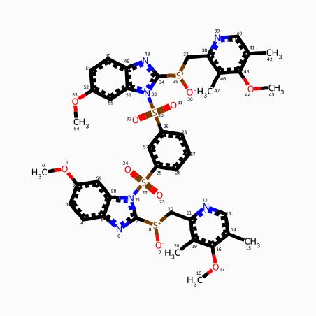 COc1ccc2nc([S+]([O-])Cc3ncc(C)c(OC)c3C)n(S(=O)(=O)c3cccc(S(=O)(=O)n4c([S+]([O-])Cc5ncc(C)c(OC)c5C)nc5ccc(OC)cc54)c3)c2c1